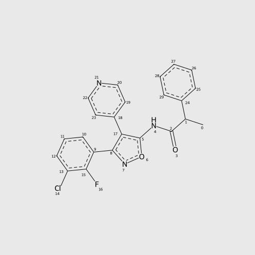 CC(C(=O)Nc1onc(-c2cccc(Cl)c2F)c1-c1ccncc1)c1ccccc1